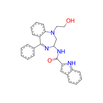 O=C(NC1CN(CCO)c2ccccc2C(c2ccccc2)=N1)c1cc2ccccc2[nH]1